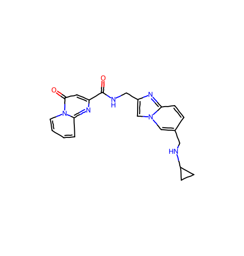 O=C(NCc1cn2cc(CNC3CC3)ccc2n1)c1cc(=O)n2ccccc2n1